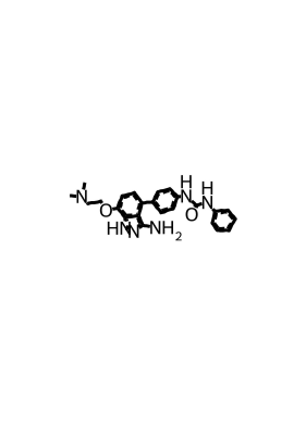 CN(C)CCOc1ccc(-c2ccc(NC(=O)Nc3ccccc3)cc2)c2c(N)n[nH]c12